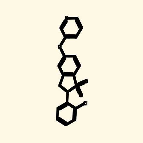 O=S1(=O)c2ccc(Oc3cccnc3)cc2CN1c1ccccc1Cl